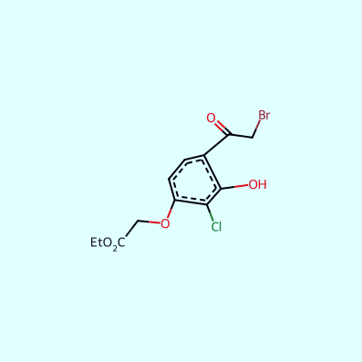 CCOC(=O)COc1ccc(C(=O)CBr)c(O)c1Cl